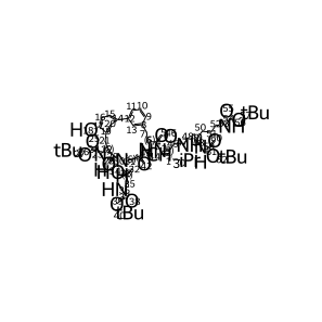 CC(C)C[C@H](NC(=O)[C@@H]1Cc2cccc(c2)-c2ccc(O)c(c2)C[C@H](NC(=O)OC(C)(C)C)C(=O)N[C@@H](C[C@@H](O)CNC(=O)OC(C)(C)C)C(=O)N1C)C(=O)NC[C@H](CCCNC(=O)OC(C)(C)C)NC(=O)OC(C)(C)C